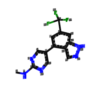 CNc1ncc(-c2cc(C(F)(F)F)cc3[nH]ncc23)cn1